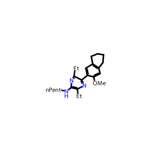 CCCCCNc1nc(CC)c(-c2cc3c(cc2OC)CCCC3)nc1CC